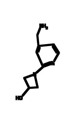 NCc1ccnc(N2CC(O)C2)c1